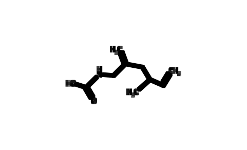 C=CC(C)CC(=C)CNC(=O)O